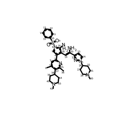 Cc1cc(-c2cn(S(=O)(=O)c3ccccc3)c(N)c2/C=C(\N)c2ccn(C3CCN(C)CC3)n2)nc(C)c1C1CCN(C)CC1